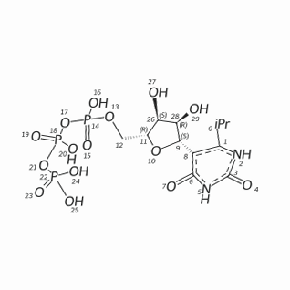 CC(C)c1[nH]c(=O)[nH]c(=O)c1[C@@H]1O[C@H](COP(=O)(O)OP(=O)(O)OP(=O)(O)O)[C@@H](O)[C@H]1O